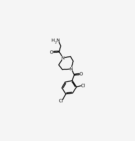 NCC(=O)N1CCN(C(=O)c2ccc(Cl)cc2Cl)CC1